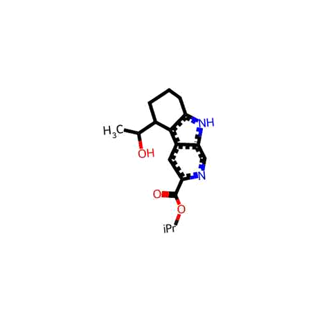 CC(C)OC(=O)c1cc2c3c([nH]c2cn1)CCCC3C(C)O